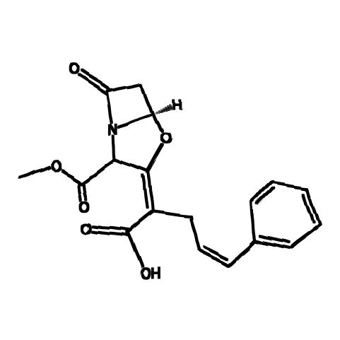 COC(=O)C1/C(=C(/C/C=C\c2ccccc2)C(=O)O)O[C@@H]2CC(=O)N12